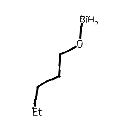 CCCCC[O][BiH2]